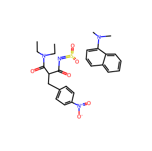 CCN(CC)C(=O)C(Cc1ccc([N+](=O)[O-])cc1)C(=O)N=S(=O)=O.CN(C)c1cccc2ccccc12